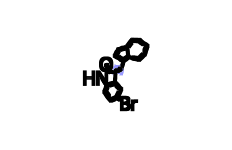 O=C1Nc2ccc(Br)cc2/C1=C/c1ccc2cccccc1-2